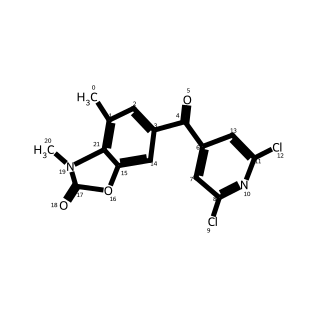 Cc1cc(C(=O)c2cc(Cl)nc(Cl)c2)cc2oc(=O)n(C)c12